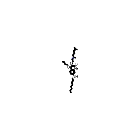 CCCCCCCCNc1ccc2c(OCCCC)c(OC/C=C(\C)CCC=C(C)C)c(=O)n(C)c2c1